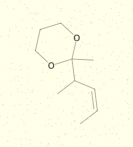 C/C=C\C(C)C1(C)OCCCO1